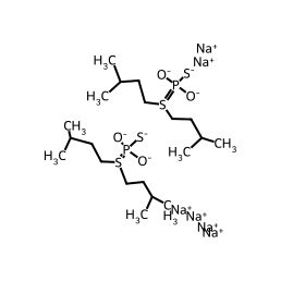 CC(C)CCS(CCC(C)C)=P([O-])([O-])[S-].CC(C)CCS(CCC(C)C)=P([O-])([O-])[S-].[Na+].[Na+].[Na+].[Na+].[Na+].[Na+]